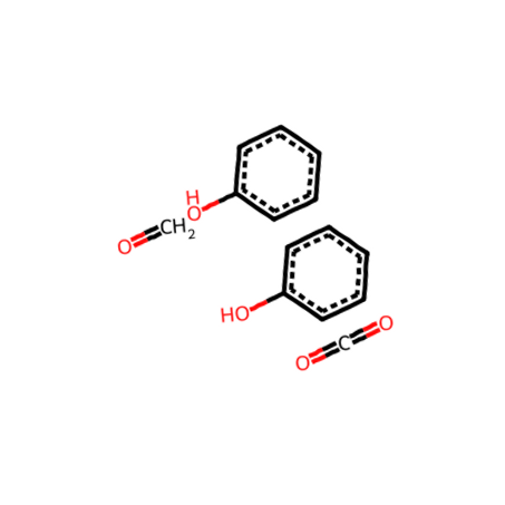 C=O.O=C=O.Oc1ccccc1.Oc1ccccc1